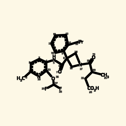 Cc1ccc(NC(=O)C2(c3ccccc3C(C)C)CN(C(=O)C(C)CC(=O)O)C2)c(OC(F)F)n1